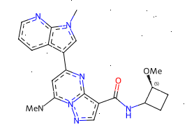 CNc1cc(-c2cn(C)c3ncccc23)nc2c(C(=O)NC3CC[C@@H]3OC)cnn12